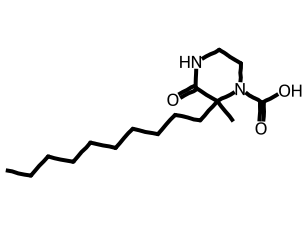 CCCCCCCCCCC1(C)C(=O)NCCN1C(=O)O